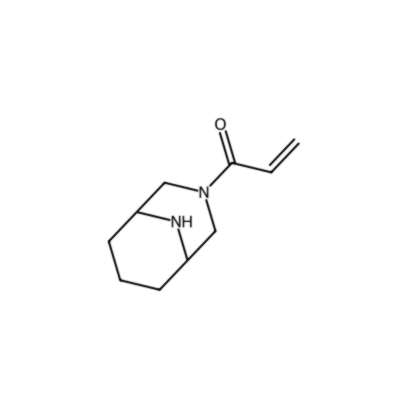 C=CC(=O)N1CC2CCCC(C1)N2